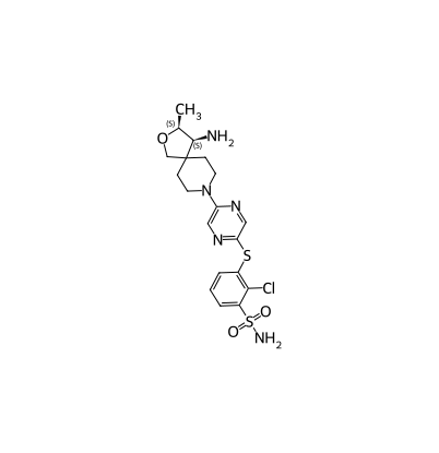 C[C@@H]1OCC2(CCN(c3cnc(Sc4cccc(S(N)(=O)=O)c4Cl)cn3)CC2)[C@@H]1N